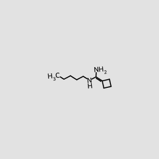 CCCCCNC(N)=C1CCC1